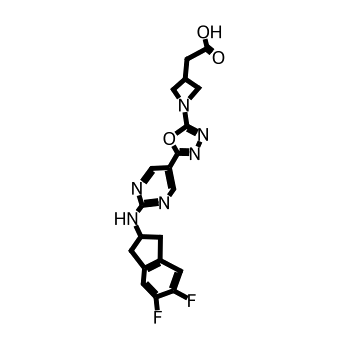 O=C(O)CC1CN(c2nnc(-c3cnc(NC4Cc5cc(F)c(F)cc5C4)nc3)o2)C1